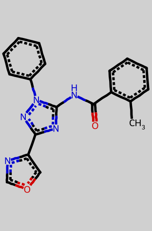 Cc1ccccc1C(=O)Nc1nc(-c2cocn2)nn1-c1ccccc1